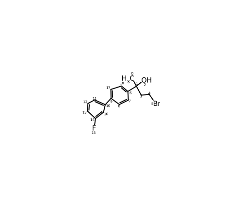 CC(O)(CCBr)c1ccc(-c2cccc(F)c2)cc1